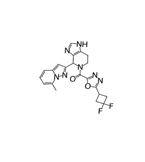 Cc1cccc2cc(C3c4nc[nH]c4CCN3C(=O)c3nnc(C4CC(F)(F)C4)o3)nn12